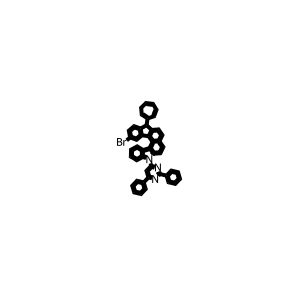 Brc1ccc2c(c1)-c1c(ccc3ccc4c(c5ccccc5n4-c4cc(-c5ccccc5)nc(-c5ccccc5)n4)c13)C2C1=CCC=CC=C1